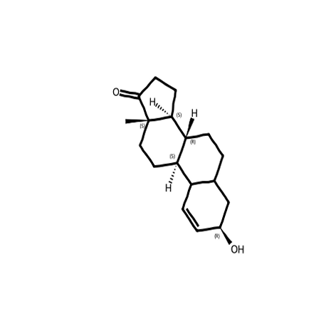 C[C@]12CC[C@@H]3C4C=C[C@H](O)CC4CC[C@H]3[C@@H]1CCC2=O